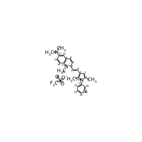 Cc1cc(/C=C/c2ccc3cc(N(C)C)ccc3[n+]2C)c(C)n1-c1cccnc1.O=S(=O)([O-])C(F)(F)F